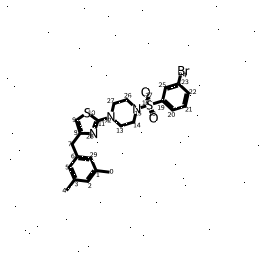 Cc1cc(C)cc(Cc2csc(N3CCN(S(=O)(=O)c4cccc(Br)c4)CC3)n2)c1